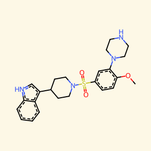 COc1ccc(S(=O)(=O)N2CCC(c3c[nH]c4ccccc34)CC2)cc1N1CCNCC1